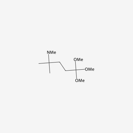 CNC(C)(C)CCC(OC)(OC)OC